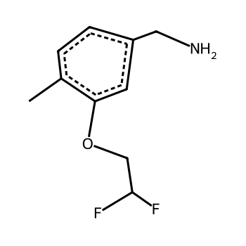 Cc1ccc(CN)cc1OCC(F)F